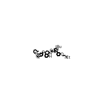 CCN(C)CCOc1cccc(-n2nc(C(C)(C)C)cc2NC(=O)N[C@H]2CC[C@@H](Oc3ccc4nnc(N5CCCCC5C)n4c3)c3ccccc32)c1